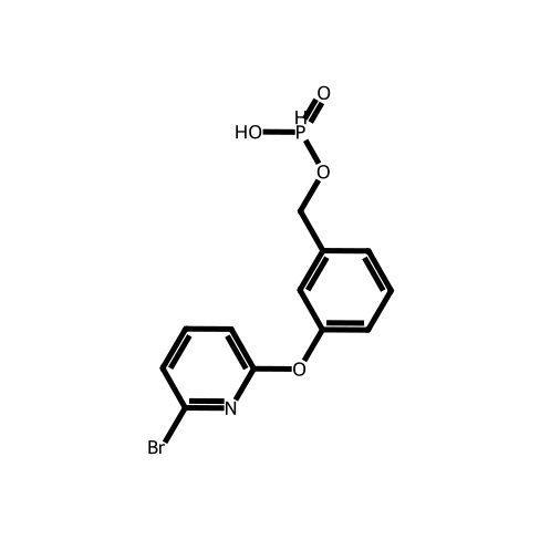 O=[PH](O)OCc1cccc(Oc2cccc(Br)n2)c1